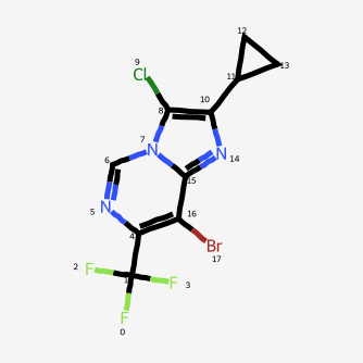 FC(F)(F)c1ncn2c(Cl)c(C3CC3)nc2c1Br